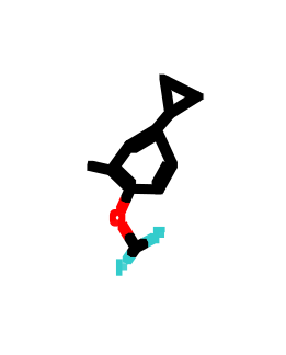 Cc1cc(C2CC2)ccc1OC(F)F